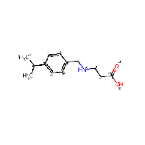 CC(C)c1ccc(CNCCC(=O)O)cc1